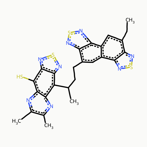 CCc1cc2c(cc(CCC(C)c3c4nsnc4c(S)c4nc(C)c(C)nc34)c3nsnc32)c2nsnc12